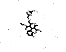 CCOC(=O)C1=C(COCc2nnc(N)s2)NC(C)=C(C(=O)OC)C1c1cccc(Cl)c1Cl